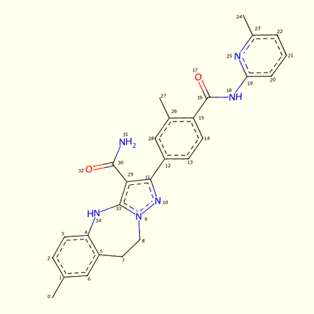 Cc1ccc2c(c1)CCn1nc(-c3ccc(C(=O)Nc4cccc(C)n4)c(C)c3)c(C(N)=O)c1N2